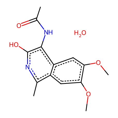 COc1cc2c(C)nc(O)c(NC(C)=O)c2cc1OC.O